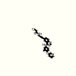 Cc1cc(Nc2ncnc3ccc(C#CCNC(=O)CCl)cc23)ccc1Oc1cccnc1